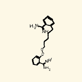 N=C(N)c1ccccc1CCCCCOOc1ccccc1C(=N)N